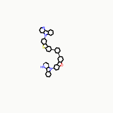 C1=Cc2c(c3ccccc3n2-c2ccc3oc4ccc(-c5cccc(-c6ccc7sc8ccc(-n9c%10ccccc%10c%10ncccc%109)cc8c7c6)c5)cc4c3c2)NC1